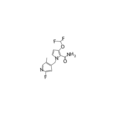 Cc1cnc(F)cc1Cn1ccc(OC(F)F)c1C(N)=O